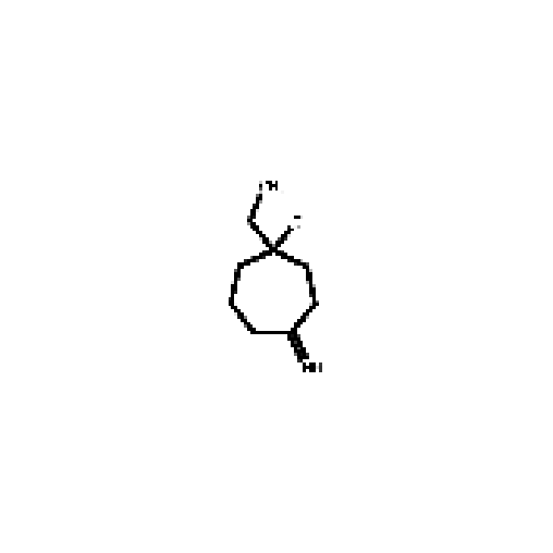 CCC1(Cl)CCCC(=N)CC1